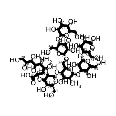 C[C@H]1C(O)[C@H](O[C@@H]2O[C@@H](CO)[C@H](O)C(O[C@]3(C(=O)O)C[C@@H](O)[C@@H](N)C([C@H](O)[C@H](O)CO)O3)C2O)C(CO[C@@H]2OC(CO)[C@@H](O[C@@H]3OC(CO)[C@H](O)C(O)[C@@H]3O)C(O)[C@@H]2O)O[C@H]1OC1[C@@H](O)C(CO)O[C@@H](O[C@@H]2C(CO)O[C@@H](O)[C@@H](O)C2O)[C@H]1O